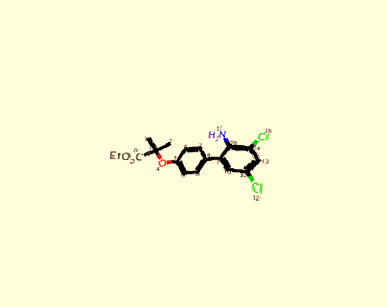 CCOC(=O)C(C)(C)Oc1ccc(-c2cc(Cl)cc(Cl)c2N)cc1